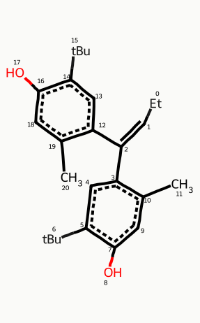 CCC=C(c1cc(C(C)(C)C)c(O)cc1C)c1cc(C(C)(C)C)c(O)cc1C